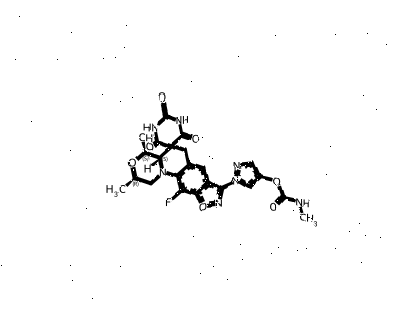 CNC(=O)Oc1cnn(-c2noc3c(F)c4c(cc23)CC2(C(=O)NC(=O)NC2=O)[C@H]2[C@H](C)O[C@H](C)CN42)c1